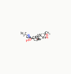 Cc1ccn(C/C(O)=C2/CC[C@H]3[C@@H]4CC[C@@H]5C[C@](C)(O)CC[C@@H]5[C@H]4CC[C@]23C)n1